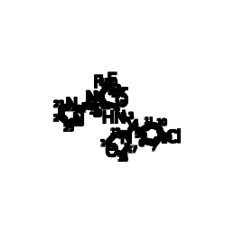 O=C(NC[C@H](c1ccc(Cl)cc1)N1CCOCC1)c1sc(-c2ncccn2)nc1C(F)(F)Br